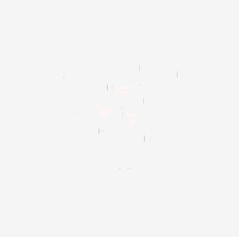 C#CC(C)(CC)O[SiH](OC(C)(C#C)CC)OC(C)(C#C)CC